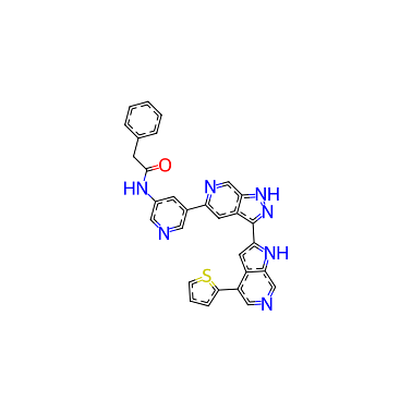 O=C(Cc1ccccc1)Nc1cncc(-c2cc3c(-c4cc5c(-c6cccs6)cncc5[nH]4)n[nH]c3cn2)c1